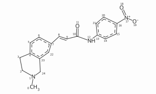 CN1CCc2ccc(C=CC(=O)Nc3ccc([N+](=O)[O-])cc3)cc2C1